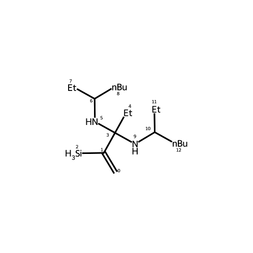 C=C([SiH3])C(CC)(NC(CC)CCCC)NC(CC)CCCC